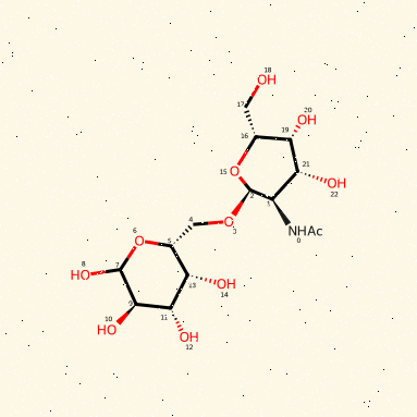 CC(=O)N[C@H]1[C@@H](OC[C@H]2OC(O)[C@H](O)[C@@H](O)[C@H]2O)O[C@H](CO)[C@H](O)[C@@H]1O